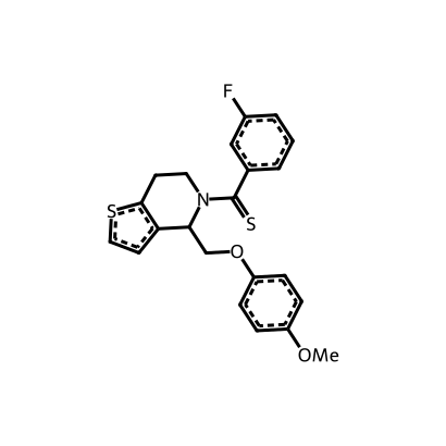 COc1ccc(OCC2c3ccsc3CCN2C(=S)c2cccc(F)c2)cc1